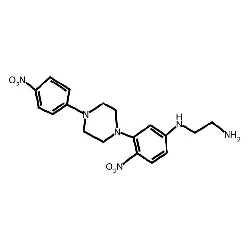 NCCNc1ccc([N+](=O)[O-])c(N2CCN(c3ccc([N+](=O)[O-])cc3)CC2)c1